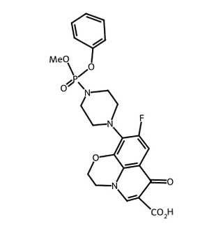 COP(=O)(Oc1ccccc1)N1CCN(c2c(F)cc3c(=O)c(C(=O)O)cn4c3c2OCC4)CC1